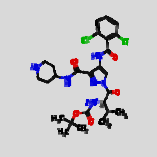 CC(C)[C@H](NC(=O)OC(C)(C)C)C(=O)n1cc(NC(=O)c2c(Cl)cccc2Cl)c(C(=O)NC2CCNCC2)n1